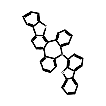 c1ccc2c(c1)B(c1cccc3c1oc1ccccc13)c1ccccc1-c1c-2ccc2c1oc1ccccc12